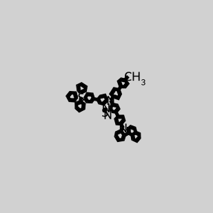 Cc1ccc(-c2ccc(N(c3ccc(-c4ccc(S(c5ccccc5)(c5ccccc5)c5ccccc5)cc4)cc3)c3ccc(-c4ccc(-n5c6ccccc6c6c7ccccc7ccc65)cc4)c4nsnc34)cc2)cc1